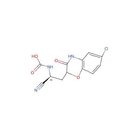 N#C[C@H](CC1Oc2ccc(Cl)cc2NC1=O)NC(=O)O